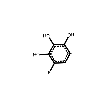 Oc1[c]cc(F)c(O)c1O